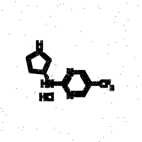 Cl.FC(F)(F)c1cnc(N[C@@H]2CCNC2)nc1